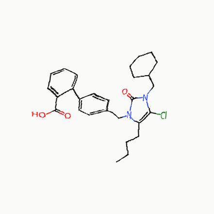 CCCCc1c(Cl)n(CC2CCCCC2)c(=O)n1Cc1ccc(-c2ccccc2C(=O)O)cc1